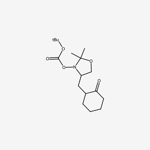 CC(C)(C)OC(=O)ON1C(CC2CCCCC2=O)COC1(C)C